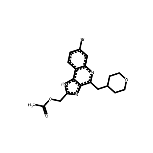 CC(=O)OCc1nc2c(CC3CCOCC3)nc3cc(Br)ccc3c2[nH]1